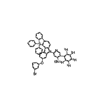 [2H]c1c([2H])c([2H])c(-c2cnc(-n3c4cc(Oc5cccc(Br)c5)ccc4c4c5c(ccc43)-c3ccccc3[Si]5(c3ccccc3)c3ccccc3)cc2C(C)(C)C)c([2H])c1[2H]